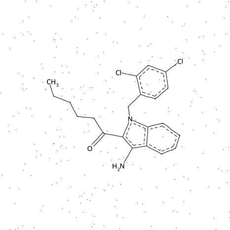 CCCCCC(=O)c1c(N)c2ccccc2n1Cc1ccc(Cl)cc1Cl